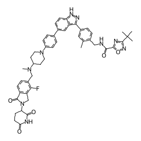 Cc1cc(-c2n[nH]c3ccc(-c4ccc(N5CCC(N(C)Cc6ccc7c(c6F)CN(C6CCC(=O)NC6=O)C7=O)CC5)cc4)cc23)ccc1CNC(=O)c1nc(C(C)(C)C)no1